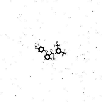 COc1ccc(Oc2cccc(O)c2C(=O)Nc2cc(C(F)(F)F)cc(C(F)(F)F)c2)cc1